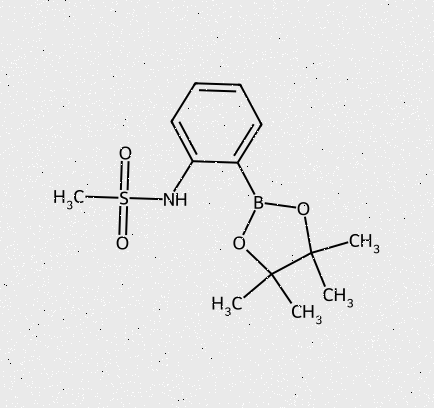 CC1(C)OB(c2ccccc2NS(C)(=O)=O)OC1(C)C